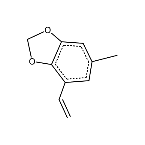 C=Cc1cc(C)cc2c1OCO2